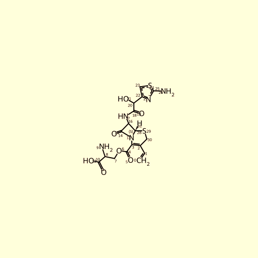 C=CC1=C(C(=O)OCC(N)C(=O)O)N2C(=O)C(NC(=O)C(O)c3csc(N)n3)[C@@H]2SC1